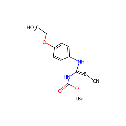 CC(C)(C)OC(=O)NC(=BC#N)Nc1ccc(OCC(=O)O)cc1